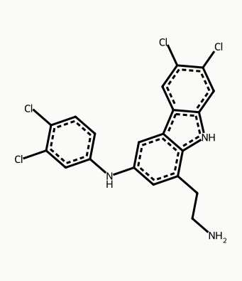 NCCc1cc(Nc2ccc(Cl)c(Cl)c2)cc2c1[nH]c1cc(Cl)c(Cl)cc12